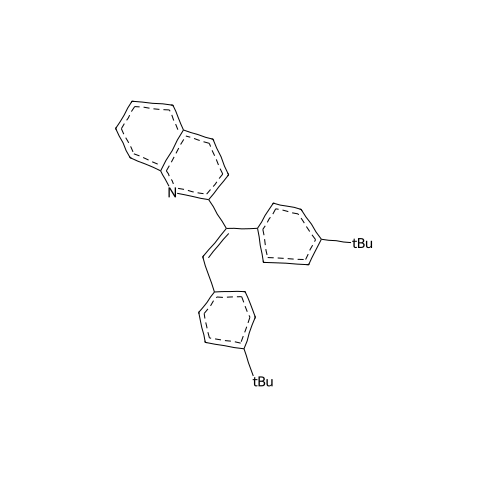 CC(C)(C)c1ccc(C=C(c2ccc(C(C)(C)C)cc2)c2ccc3ccccc3n2)cc1